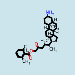 Cc1cccc(C)c1C(=O)OCC(=O)CC[C@@H](C)[C@H]1CC[C@H]2[C@@H]3CC[C@@H]4C[C@H](N)CC[C@]4(C)[C@H]3CC[C@]12C